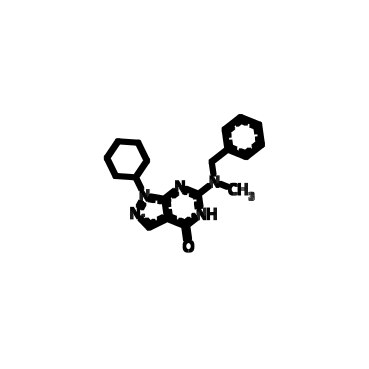 CN(Cc1ccccc1)c1nc2c(cnn2C2CCCCC2)c(=O)[nH]1